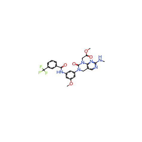 CNc1ncc2c(n1)N(CC(=O)OC)C(=O)N(c1cc(NC(=O)c3cccc(C(F)(F)F)c3)cc(OC)c1)C2